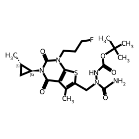 Cc1c(CN(NC(=O)OC(C)(C)C)C(N)=O)sc2c1c(=O)n([C@H]1C[C@@H]1C)c(=O)n2CCCF